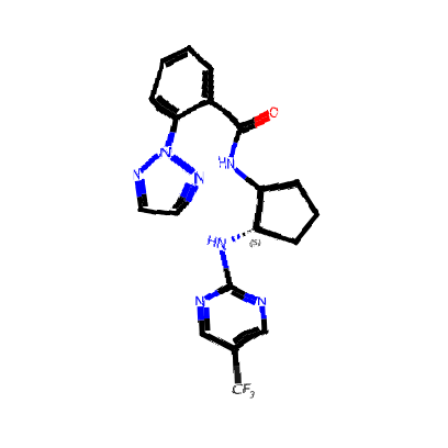 O=C(NC1CCC[C@@H]1Nc1ncc(C(F)(F)F)cn1)c1ccccc1-n1nccn1